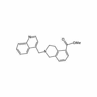 COC(=O)c1cccc2c1CCN(Cc1ccnc3ccccc13)C2